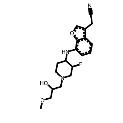 COCC(O)CN1CCC(Nc2cccc3c(CC#N)coc23)C(F)C1